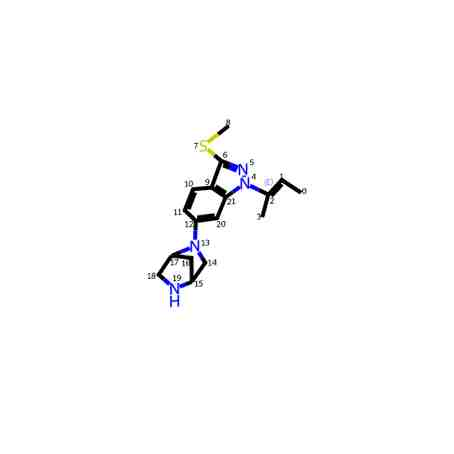 C/C=C(\C)n1nc(SC)c2ccc(N3CC4CC3CN4)cc21